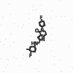 Cc1cc(NCc2cc3n(n2)CCN(c2ccc(F)cc2)C3=O)ccc1F